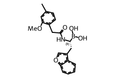 COc1cc(C)ccc1CC(=O)N[C@@H](Cc1coc2ccccc12)B(O)O